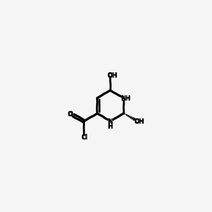 O=C(Cl)C1=CC(O)N[C@H](O)N1